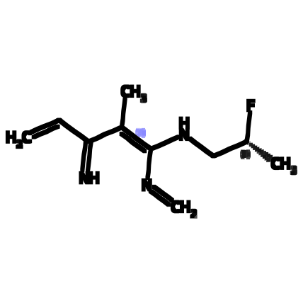 C=CC(=N)/C(C)=C(\N=C)NC[C@@H](C)F